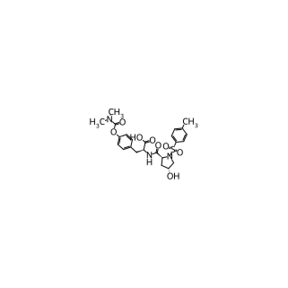 Cc1ccc(S(=O)(=O)N2C[C@H](O)C[C@H]2C(=O)N[C@@H](Cc2ccc(OC(=O)N(C)C)cc2)C(=O)O)cc1